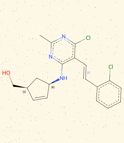 Cc1nc(Cl)c(/C=C/c2ccccc2Cl)c(N[C@H]2C=C[C@@H](CO)C2)n1